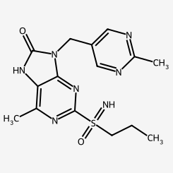 CCCS(=N)(=O)c1nc(C)c2[nH]c(=O)n(Cc3cnc(C)nc3)c2n1